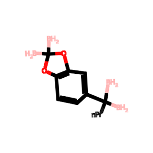 BC1(B)Oc2ccc(C(B)(B)CCC)cc2O1